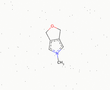 Cn1cc2c(c1)COC2